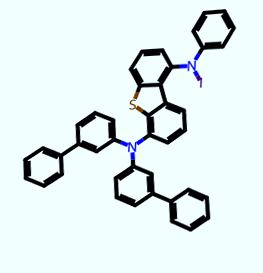 IN(c1ccccc1)c1cccc2sc3c(N(c4cccc(-c5ccccc5)c4)c4cccc(-c5ccccc5)c4)cccc3c12